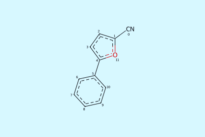 N#Cc1[c]cc(-c2ccccc2)o1